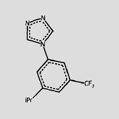 CC(C)c1cc(-n2cnnc2)cc(C(F)(F)F)c1